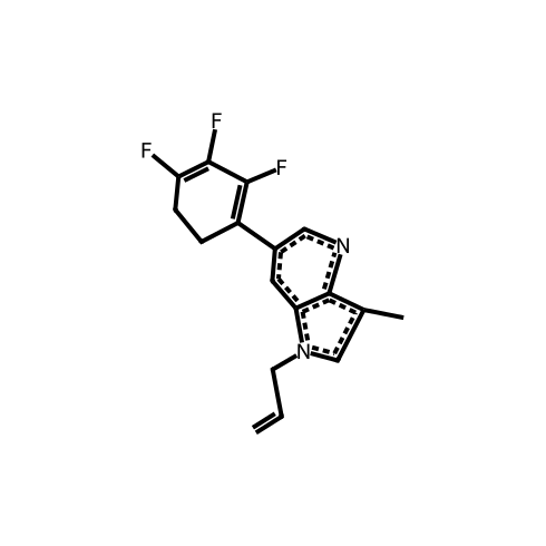 C=CCn1cc(C)c2ncc(C3=C(F)C(F)=C(F)CC3)cc21